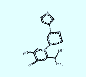 CC(O)c1cc(=O)c(O)cn1-c1cccc(-c2ccsc2)c1